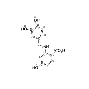 O=C(O)c1ccc(O)cc1NCc1ccc(O)c(O)c1